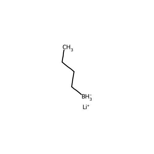 [BH3-]CCCC.[Li+]